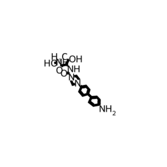 C[C@H](O)[C@@H](NC(=O)N1CCN(c2ccc(-c3ccc(N)cc3)cc2)CC1)C(=O)NO